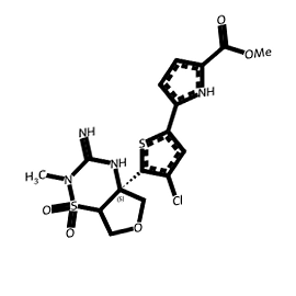 COC(=O)c1ccc(-c2cc(Cl)c([C@]34COCC3S(=O)(=O)N(C)C(=N)N4)s2)[nH]1